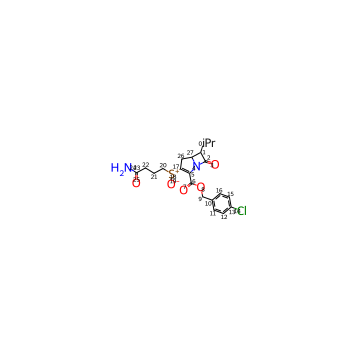 CC(C)C1C(=O)N2C(C(=O)OCc3ccc(Cl)cc3)=C([S+]([O-])CCCC(N)=O)CC12